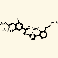 CCCOCCc1cccc(-c2csc(NC(=O)c3cc(Cl)c(C=C(OC)C(=O)O)c(Cl)c3)n2)c1OC